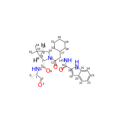 C[C@@H](C=O)NC(=O)[C@@H]1[C@@H]2[C@H](CN1C(=O)[C@@H](NC(=O)c1cc3ccccc3[nH]1)C1CCCCC1)C2(C)C